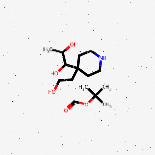 CC(C)(C)OC=O.CC(O)C(O)C1(CCO)CCNCC1